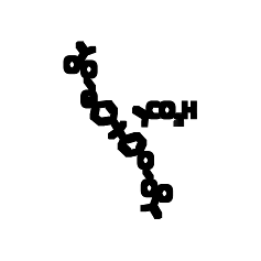 C=C(C)C(=O)O.C=C(C)C(=O)OCCOc1ccc(C(C)(C)c2ccc(OCCOC(=O)C(=C)C)cc2)cc1